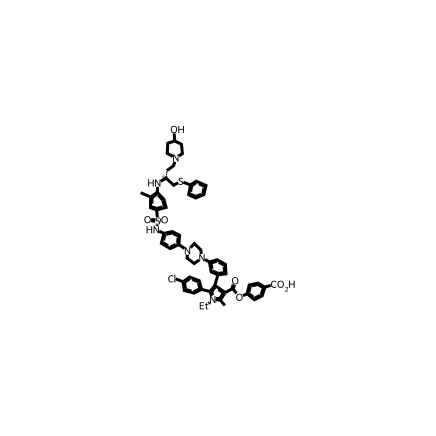 CCn1c(C)c(C(=O)Oc2ccc(C(=O)O)cc2)c(-c2cccc(N3CCN(c4ccc(NS(=O)(=O)c5ccc(N[C@H](CCN6CCC(O)CC6)CSc6ccccc6)c(C)c5)cc4)CC3)c2)c1-c1ccc(Cl)cc1